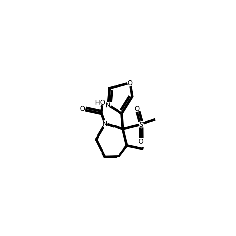 CC1CCCN(C(=O)O)C1(c1cocn1)S(C)(=O)=O